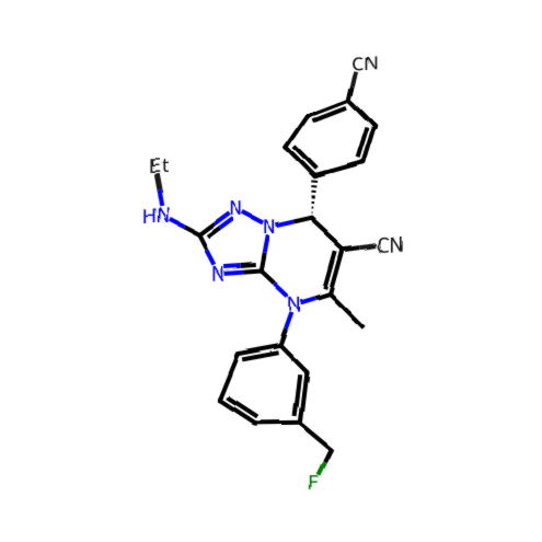 CCNc1nc2n(n1)[C@H](c1ccc(C#N)cc1)C(C#N)=C(C)N2c1cccc(CF)c1